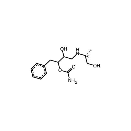 C[C@H](CO)NCC(O)C(Cc1ccccc1)OC(N)=O